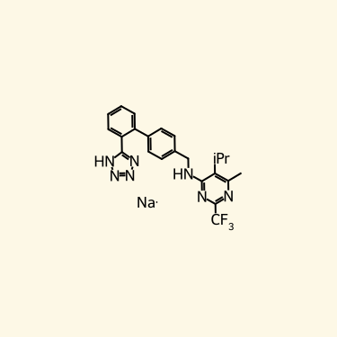 Cc1nc(C(F)(F)F)nc(NCc2ccc(-c3ccccc3-c3nnn[nH]3)cc2)c1C(C)C.[Na]